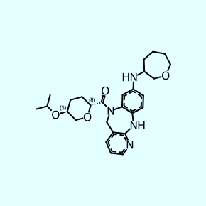 CC(C)O[C@H]1CC[C@H](C(=O)N2Cc3cccnc3Nc3ccc(NC4CCCCOC4)cc32)OC1